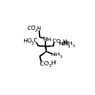 N.N.NC(CC(=O)O)C(CC(=O)O)(CC(=O)O)NCC(=O)O